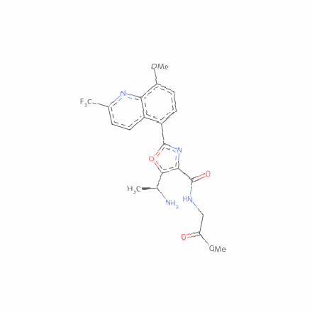 COC(=O)CNC(=O)c1nc(-c2ccc(OC)c3nc(C(F)(F)F)ccc23)oc1[C@H](C)N